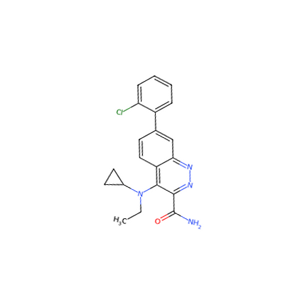 CCN(c1c(C(N)=O)nnc2cc(-c3ccccc3Cl)ccc12)C1CC1